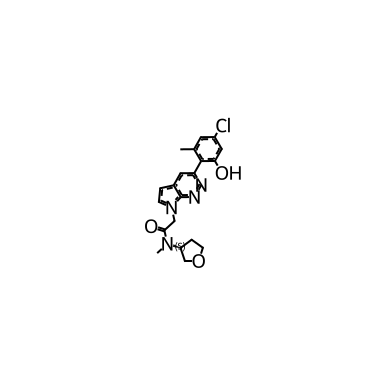 Cc1cc(Cl)cc(O)c1-c1cc2ccn(CC(=O)N(C)[C@H]3CCOC3)c2nn1